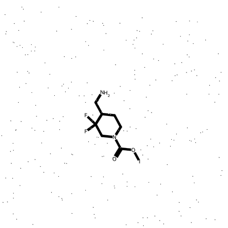 NCC1CCN(C(=O)OI)CC1(F)F